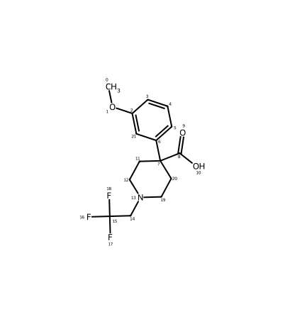 COc1cccc(C2(C(=O)O)CCN(CC(F)(F)F)CC2)c1